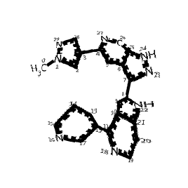 Cn1cc(-c2cc3c(-c4cc5c(-c6cccnc6)nccc5[nH]4)n[nH]c3cn2)cn1